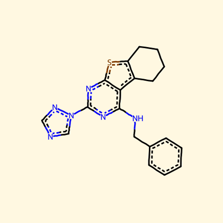 c1ccc(CNc2nc(-n3cncn3)nc3sc4c(c23)CCCC4)cc1